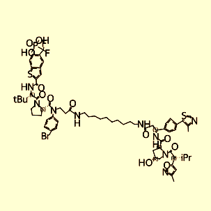 Cc1cc([C@H](C(=O)N2C[C@H](O)C[C@H]2C(=O)N[C@@H](CC(=O)NCCCCCCCCCCNC(=O)CCN(C(=O)[C@@H]2CCCN2C(=O)[C@@H](NC(=O)c2cc3cc(C(F)(F)P(=O)(O)O)ccc3s2)C(C)(C)C)c2ccc(Br)cc2)c2ccc(-c3scnc3C)cc2)C(C)C)on1